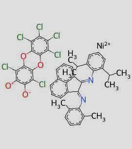 Cc1cccc(C)c1N=C1C(=Nc2c(C(C)C)cccc2C(C)C)c2cccc3cccc1c23.[Ni+2].[O-]c1c([O-])c(Cl)c2c(c1Cl)Oc1c(Cl)c(Cl)c(Cl)c(Cl)c1O2